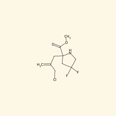 C=C(CCl)CC1(C(=O)OC)CC(F)(F)CN1